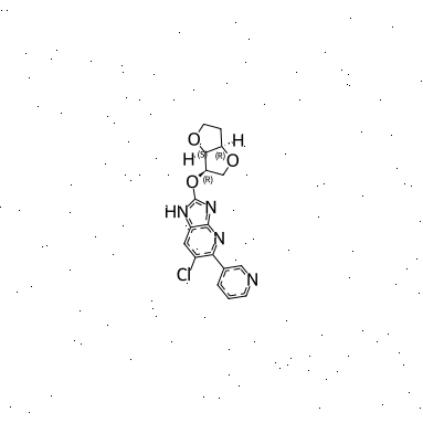 Clc1cc2[nH]c(O[C@@H]3CO[C@@H]4CCO[C@@H]43)nc2nc1-c1cccnc1